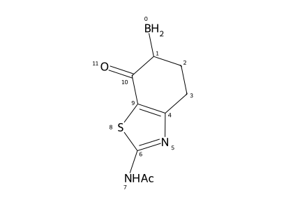 BC1CCc2nc(NC(C)=O)sc2C1=O